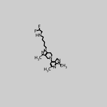 Cc1cc(N2CCc3c(c(C)nn3CCCCCNCC(F)F)C2)c2cnn(C)c2n1